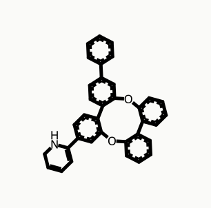 C1=CCNC(c2ccc3c(c2)Oc2ccccc2-c2ccccc2Oc2cc(-c4ccccc4)ccc2-3)=C1